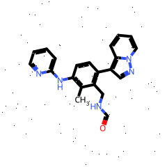 Cc1c(Nc2ccccn2)ccc(-c2cnn3ccccc23)c1CNC=O